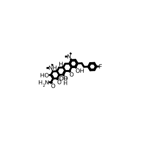 CN(C)c1cc(CCc2ccc(F)cc2)c(O)c2c1C[C@H]1C[C@H]3[C@H](N(C)C)C(O)=C(C(N)=O)C(=O)[C@@]3(O)C(O)=C1C2=O